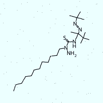 CCCCCCCCCCCCN(N)C(=S)NC(C)(N=NC(C)(C)C)C(C)(C)C